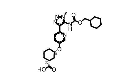 Cn1nnc(-c2ccc(O[C@H]3CCC[C@H](C(=O)O)C3)cn2)c1NC(=O)OCC1CCCCC1